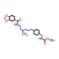 CN(CCCc1ccc(CNC(=O)OC(C)(C)C)cc1)CCNC(=O)c1ccc2c(c1)OCO2